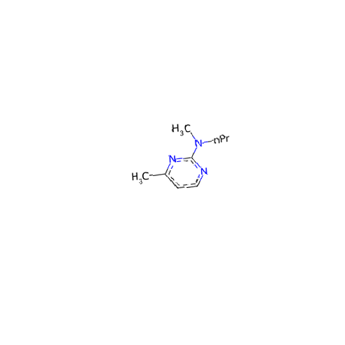 CCCN(C)c1nccc(C)n1